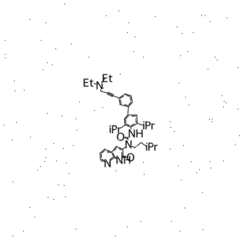 CCN(CC)CC#Cc1cccc(-c2cc(C(C)C)c(NC(=O)N(CCC(C)C)c3cc4cccnc4[nH]c3=O)c(C(C)C)c2)c1